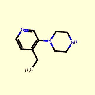 CCc1ccn[c]c1N1CCNCC1